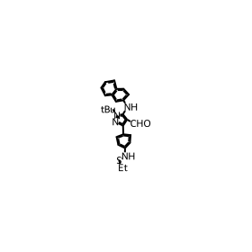 CCSNc1ccc(-c2nn(C(C)(C)C)c(Nc3ccc4ccccc4c3)c2C=O)cc1